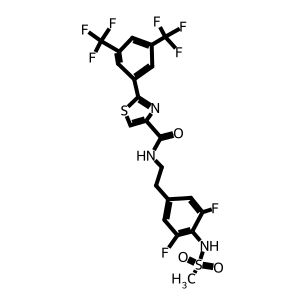 CS(=O)(=O)Nc1c(F)cc(CCNC(=O)c2csc(-c3cc(C(F)(F)F)cc(C(F)(F)F)c3)n2)cc1F